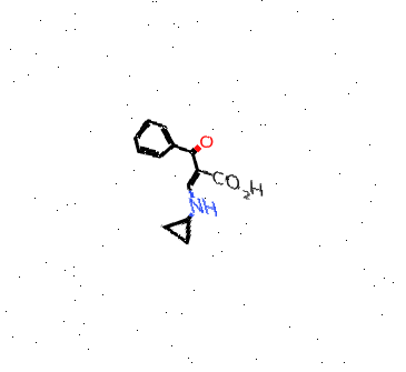 O=C(O)C(=CNC1CC1)C(=O)c1ccccc1